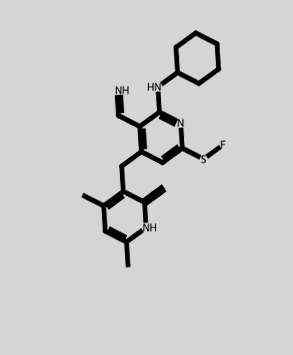 C=C1NC(C)=CC(C)=C1Cc1cc(SF)nc(NC2CCCCC2)c1C=N